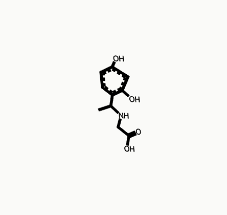 CC(NCC(=O)O)c1ccc(O)cc1O